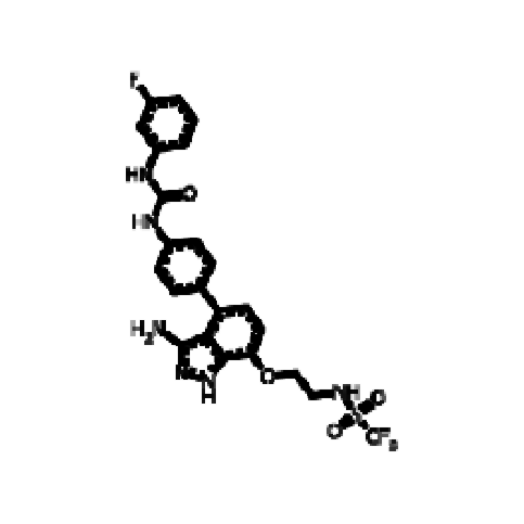 Nc1n[nH]c2c(OCCNS(=O)(=O)C(F)(F)F)ccc(-c3ccc(NC(=O)Nc4cccc(F)c4)cc3)c12